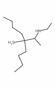 CCCCC([SiH3])(CCCC)C(C)NCC